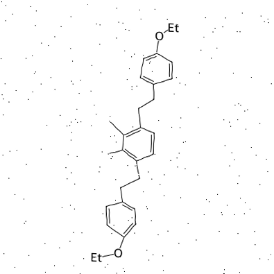 CCOc1ccc(CCc2ccc(CCc3ccc(OCC)cc3)c(C)c2C)cc1